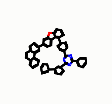 C1=CCC(c2cccc(-c3nc(-c4ccccc4)nc(-c4ccc(-c5cccc6oc7cc(-c8ccc9ccc%10ccccc%10c9c8)ccc7c56)cc4)n3)c2)C=C1